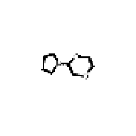 C1CCN([C]2COCCO2)C1